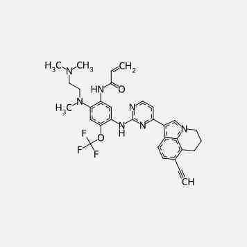 C#Cc1ccc2c(-c3ccnc(Nc4cc(NC(=O)C=C)c(N(C)CCN(C)C)cc4OC(F)(F)F)n3)cn3c2c1CCC3